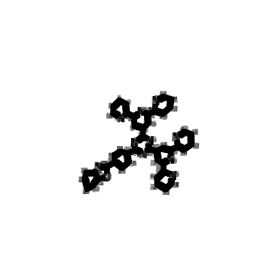 c1ccc(-c2cc(-c3nc(-c4ccc(-c5nc6ccccc6o5)cc4)nc(-c4cc(-c5ccccn5)nc(-c5ccccn5)c4)n3)cc(-c3ccccn3)n2)nc1